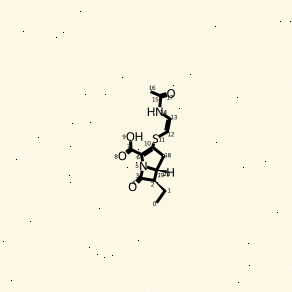 CC[C@H]1C(=O)N2C(C(=O)O)=C(S/C=C\NC(C)=O)C[C@H]12